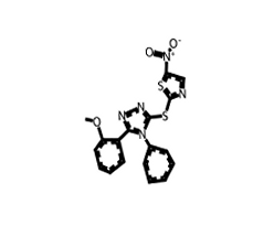 COc1ccccc1-c1nnc(Sc2ncc([N+](=O)[O-])s2)n1-c1ccccc1